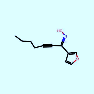 CCCCC#C/C(=N\O)c1ccoc1